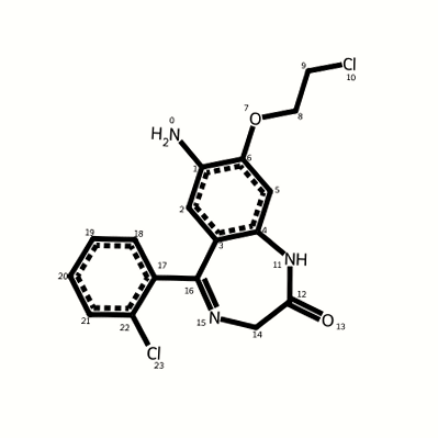 Nc1cc2c(cc1OCCCl)NC(=O)CN=C2c1ccccc1Cl